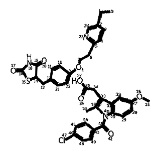 CCc1ccc(CCOc2ccc(CC3SC(=O)NC3=O)cc2)nc1.COc1ccc2c(c1)c(CC(=O)O)c(C)n2C(=O)c1ccc(Cl)cc1